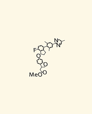 COC(=O)CC1COc2cc(O[C@@H]3CCc4c(-c5c(C)cc(-c6ncc(C)cn6)cc5C)ccc(F)c43)ccc21